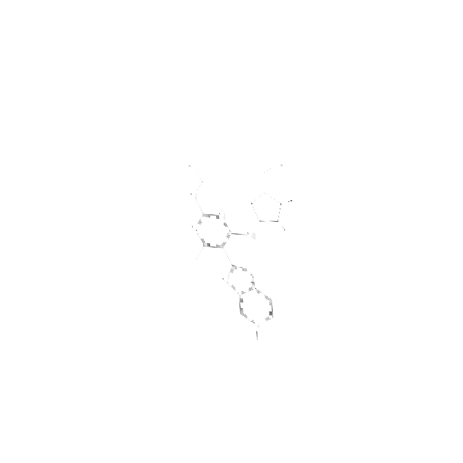 Cc1nc(NCC(C)(C)C)nc(N[C@@H]2C[C@H](CO)[C@@H](O)[C@H]2O)c1-c1nc2c[n+]([O-])ccc2s1